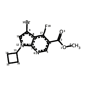 COC(=O)c1cnc2c(c(Br)cn2C2CCC2)c1F